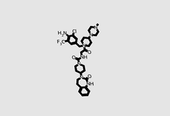 CN1CCN(C2CC[N+](Cc3cc(Cl)c(N)c(C(F)(F)F)c3)(C(=O)CNC(=O)N3CCC(N4CCc5ccccc5NC4=O)CC3)CC2)CC1